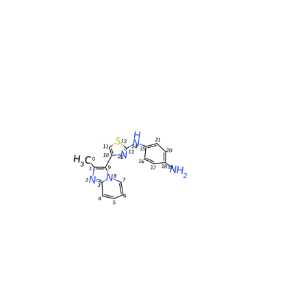 Cc1nc2ccccn2c1-c1csc(Nc2ccc(N)cc2)n1